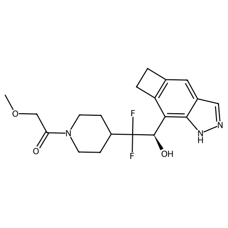 COCC(=O)N1CCC(C(F)(F)[C@H](O)c2c3c(cc4cn[nH]c24)CC3)CC1